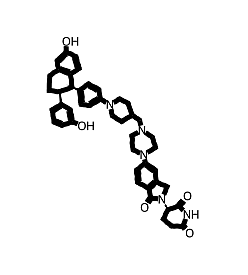 O=C1CC[C@H](N2Cc3cc(N4CCN(CC5CCN(c6ccc([C@@H]7c8ccc(O)cc8CC[C@@H]7c7cccc(O)c7)cc6)CC5)CC4)ccc3C2=O)C(=O)N1